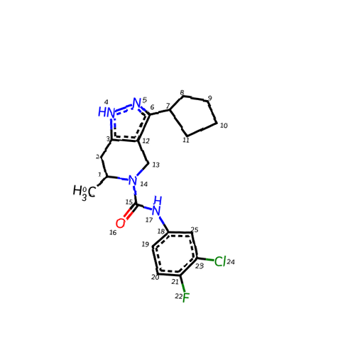 CC1Cc2[nH]nc(C3CCCC3)c2CN1C(=O)Nc1ccc(F)c(Cl)c1